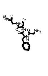 CCNC(=O)CNC(=O)C(CC(C)C)NC(=O)C(Cc1ccccc1)NC(=O)CN